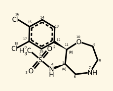 CS(=O)(=O)N[C@@H]1CNCCO[C@@H]1c1ccc(Cl)c(Cl)c1